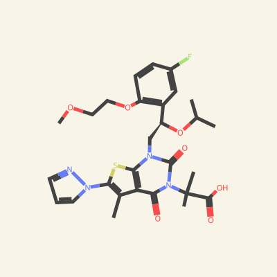 COCCOc1ccc(F)cc1[C@H](Cn1c(=O)n(C(C)(C)C(=O)O)c(=O)c2c(C)c(-n3cccn3)sc21)OC(C)C